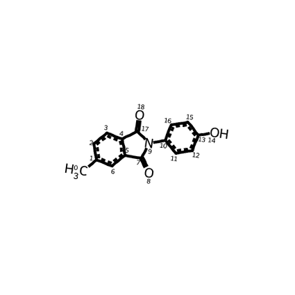 Cc1ccc2c(c1)C(=O)N(c1ccc(O)cc1)C2=O